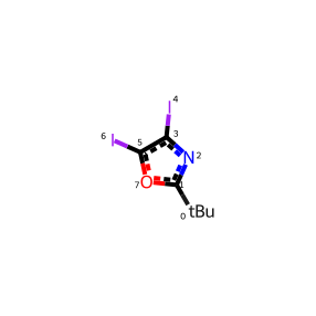 CC(C)(C)c1nc(I)c(I)o1